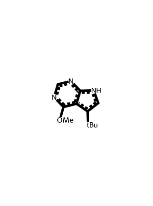 COc1ncnc2[nH]cc(C(C)(C)C)c12